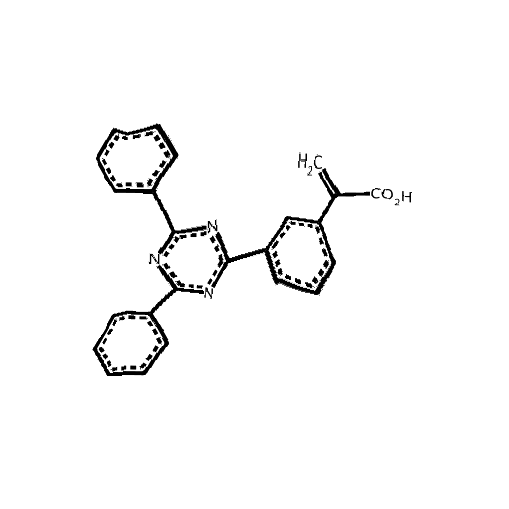 C=C(C(=O)O)c1cccc(-c2nc(-c3ccccc3)nc(-c3ccccc3)n2)c1